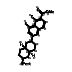 CCCCCC1CC[C@@H]2CC(c3cc(F)c4c(F)c(C(=O)OC)ccc4c3)CC[C@H]2C1